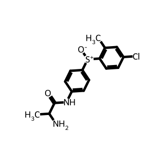 Cc1cc(Cl)ccc1[S+]([O-])c1ccc(NC(=O)C(C)N)cc1